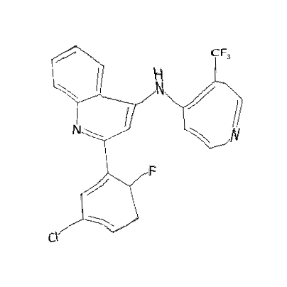 FC1CC=C(Cl)C=C1c1cc(Nc2ccncc2C(F)(F)F)c2ccccc2n1